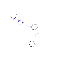 O=C(N[C@H](CCO)c1ccccc1)c1cccc(NCc2nnc(-c3ccncn3)n2CCO)c1